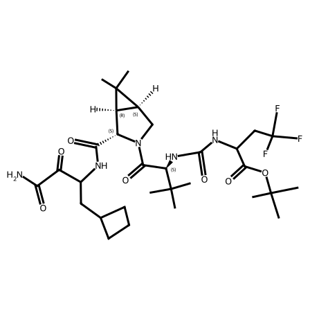 CC(C)(C)OC(=O)C(CC(F)(F)F)NC(=O)N[C@H](C(=O)N1C[C@H]2[C@@H]([C@H]1C(=O)NC(CC1CCC1)C(=O)C(N)=O)C2(C)C)C(C)(C)C